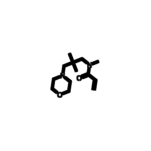 C=CC(=O)N(C)CC(C)(C)CN1CCOCC1